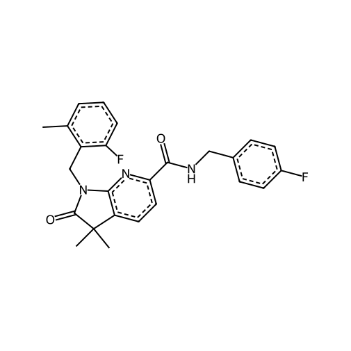 Cc1cccc(F)c1CN1C(=O)C(C)(C)c2ccc(C(=O)NCc3ccc(F)cc3)nc21